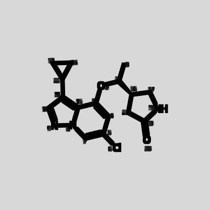 CC(Oc1cc(Cl)cn2ncc(C3CC3)c12)[C@H]1CNC(=O)C1